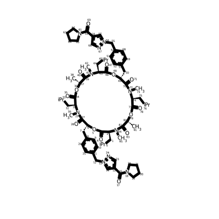 CC(C)C[C@H]1C(=O)O[C@H](Cc2ccc(Cn3cc(C(=O)N4CCCC4)cn3)cc2)C(=O)N(C)[C@@H](CC(C)C)C(=O)O[C@H](C)C(=O)N(C)[C@@H](CC(C)C)C(=O)O[C@H](Cc2ccc(Cn3cc(C(=O)N4CCCC4)cn3)cc2)C(=O)N(C)[C@@H](CC(C)C)C(=O)O[C@H](C)C(=O)N1C